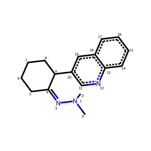 CN(C)/N=C1/CCCCC1c1cnc2ccccc2c1